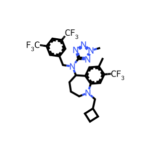 Cc1cc2c(cc1C(F)(F)F)N(CC1CCC1)CCCC2N(Cc1cc(C(F)(F)F)cc(C(F)(F)F)c1)c1nnn(C)n1